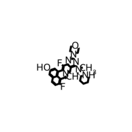 C#Cc1c(F)ccc2cc(O)cc(-c3ncc4c(N(C)C[C@H]5CCCCN5)nc(N5CCOCC5)nc4c3F)c12